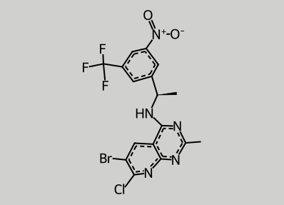 Cc1nc(N[C@H](C)c2cc([N+](=O)[O-])cc(C(F)(F)F)c2)c2cc(Br)c(Cl)nc2n1